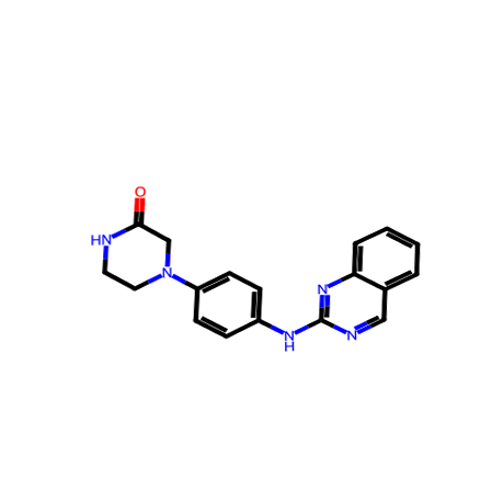 O=C1CN(c2ccc(Nc3ncc4ccccc4n3)cc2)CCN1